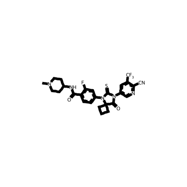 CN1CCC(NC(=O)c2ccc(N3C(=S)N(c4cnc(C#N)c(C(F)(F)F)c4)C(=O)C34CCC4)cc2F)CC1